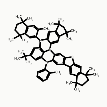 Cc1ccccc1N1c2cc3c(cc2B2c4cc5c(cc4N(c4cc6c(cc4C)C(C)(C)CCC6(C)C)c4cc(C(C)(C)C)cc1c42)C(C)(C)CC5(C)C)oc1cc2c(cc13)C(C)(C)CCC2(C)C